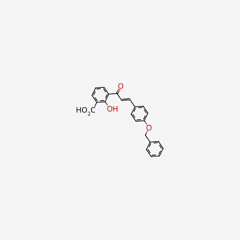 O=C(O)c1cccc(C(=O)C=Cc2ccc(OCc3ccccc3)cc2)c1O